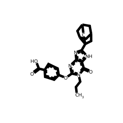 CCCn1c(Oc2ccc(C(=O)O)cc2)nc2nc(C34CC5CC(CC3C5)C4)[nH]c2c1=O